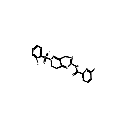 O=C(NC1=NCC2=CN(S(=O)(=O)c3ccccc3Cl)CCC2=N1)c1cccc(F)c1